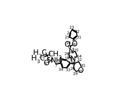 CC(C)(C)[S+]([O-])NCc1ccc(C2(N3CCN(C(=O)Oc4ccccc4)CC3)CCOCC2)cc1